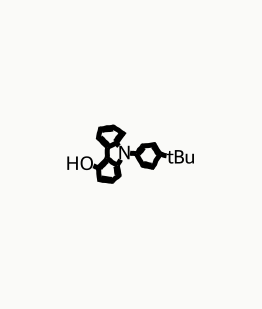 CC(C)(C)c1ccc(-n2c3ccccc3c3c(O)cccc32)cc1